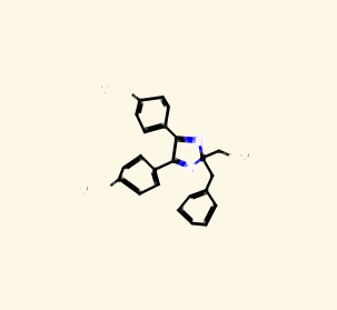 COc1ccc(C2=NC(CSC)(Cc3ccccc3)N=C2c2ccc(OC)cc2)cc1